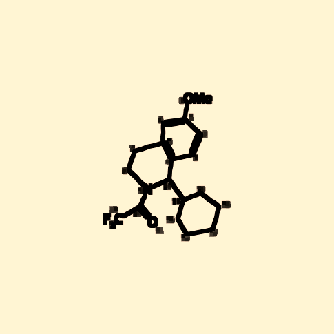 COc1ccc2c(c1)CCN(C(=O)C(F)(F)F)C2C1CCCCC1